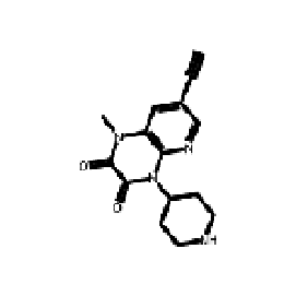 C#Cc1cnc2c(c1)n(C)c(=O)c(=O)n2C1CCNCC1